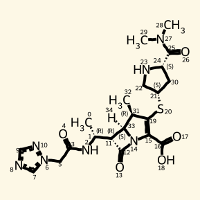 C[C@@H](NC(=O)Cn1cncn1)[C@H]1C(=O)N2C(C(=O)O)=C(S[C@@H]3CN[C@H](C(=O)N(C)C)C3)[C@H](C)[C@H]12